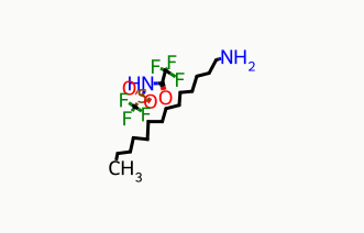 CCCCCCCCCCCCCCN.O=C(NS(=O)(=O)C(F)(F)F)C(F)(F)F